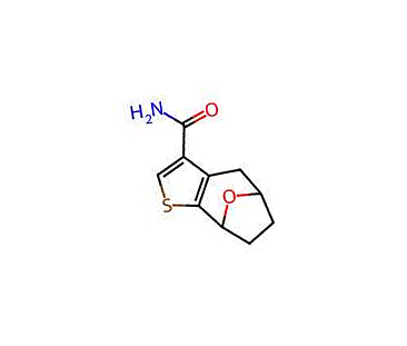 NC(=O)c1csc2c1CC1CCC2O1